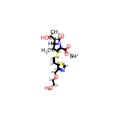 C[C@@H](O)[C@H]1C(=O)N2C(C(=O)[O-])=C(S/C=C\c3scnc3COCCO)[C@H](C)[C@H]12.[Na+]